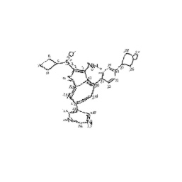 Nc1c([S+]([O-])C2CCC2)sc2nc(-c3cncnc3)cc(-c3ccc(C4COC4)cc3)c12